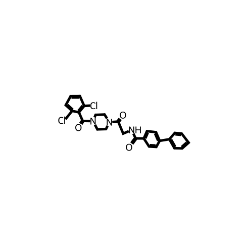 O=C(NCC(=O)N1CCN(C(=O)c2c(Cl)cccc2Cl)CC1)c1ccc(-c2ccccc2)cc1